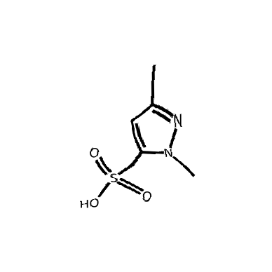 Cc1cc(S(=O)(=O)O)n(C)n1